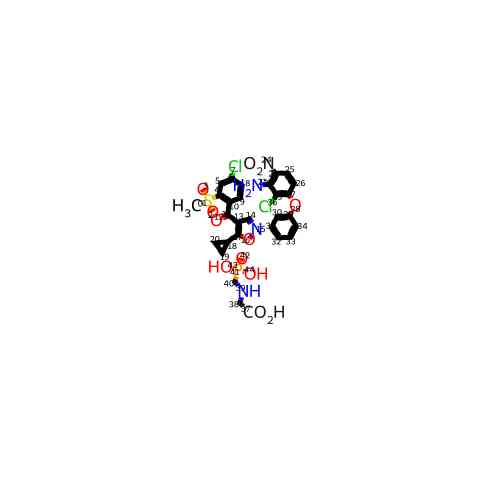 CS(=O)(=O)c1cc(Cl)ccc1C(=O)c1cnoc1C1CC1.Nc1c([N+](=O)[O-])ccc(Oc2ccccc2)c1Cl.O=C(O)CNCP(=O)(O)O